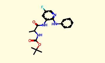 CC(NC(=O)OC(C)(C)C)C(=O)Nc1cc(F)cnc1Nc1ccccc1